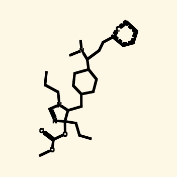 CCCN1C=NC(CCC)(OC(=O)OC)C1CC1CCC(C(CCc2ccccc2)N(C)C)CC1